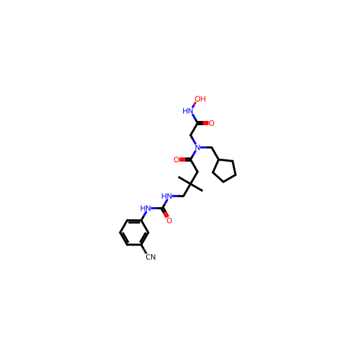 CC(C)(CNC(=O)Nc1cccc(C#N)c1)CC(=O)N(CC(=O)NO)CC1CCCC1